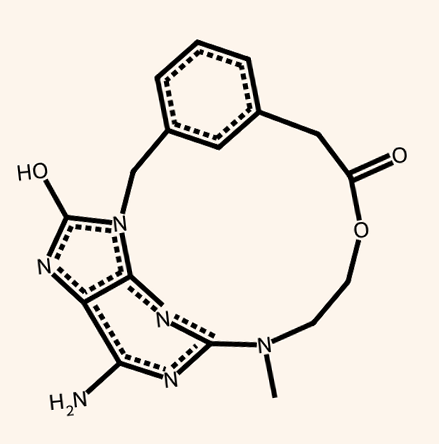 CN1CCOC(=O)Cc2cccc(c2)Cn2c(O)nc3c(N)nc1nc32